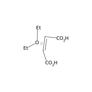 CCOCC.O=C(O)/C=C\C(=O)O